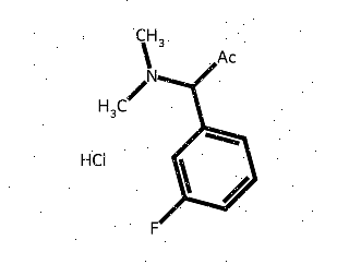 CC(=O)C(c1cccc(F)c1)N(C)C.Cl